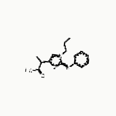 CCCn1cc(C(C)C(=O)O)s/c1=N/c1ccccc1